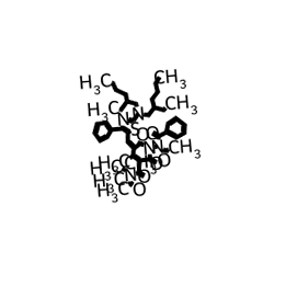 CCCCC(CC)CN(CC(CC)CCCC)c1nc(-c2ccccc2)c(/C=C2\C(=O)N(N(C(C)=O)C(=O)c3ccccc3)C(=O)C(C(=O)N(C(C)=O)C(C)(C)C)=C2C)s1